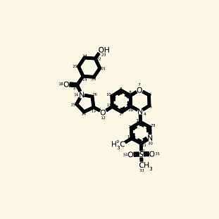 Cc1cc(N2CCOc3ccc(OC4CCN(C(=O)C5CCC(O)CC5)C4)cc32)cnc1S(C)(=O)=O